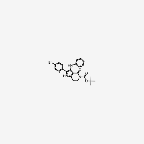 CC(C)(C)OC(=O)N1CCc2[nH]c(-c3ccc(Br)cn3)c(Nc3ccccc3)c2C1=O